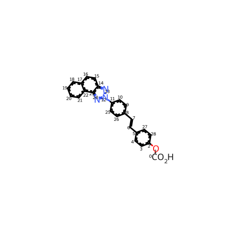 O=C(O)Oc1ccc(C=Cc2ccc(-n3nc4ccc5ccccc5c4n3)cc2)cc1